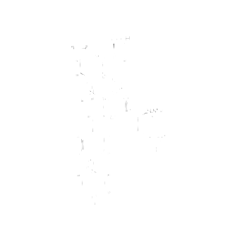 CN[C@@H](CC1CC1)C(=O)O[C@H](Cc1ccc(N2CCOCC2)cc1)C(=O)N(C)[C@@H](CC1CC1)C(=O)O[C@H](C)C(=O)O